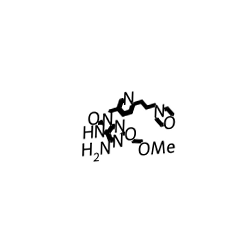 COCCOc1nc(N)c2[nH]c(=O)n(Cc3ccc(CCCN4CCOCC4)nc3)c2n1